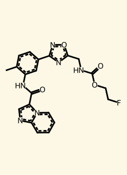 Cc1ccc(-c2noc(CNC(=O)OCCF)n2)cc1NC(=O)c1cnc2ccccn12